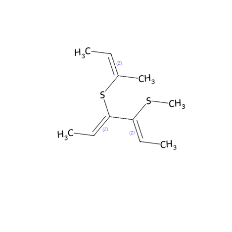 C/C=C(/C)SC(=C\C)/C(=C/C)SC